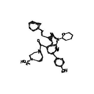 O=C(O)N1CCN(C(=O)c2cc(-c3ccc(O)cc3)nc3c2c(C=Cc2ccccc2)nn3C2CCCCO2)CC1